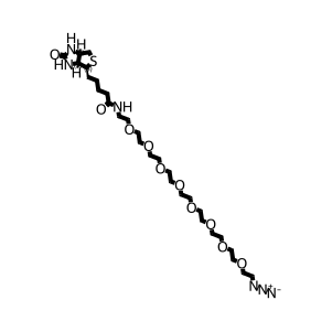 [N-]=[N+]=NCCOCCOCCOCCOCCOCCOCCOCCOCCNC(=O)CCCC[C@@H]1SC[C@@H]2NC(=O)N[C@@H]21